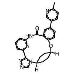 Cc1ccc(-c2ccc3c(c2)C(=O)Nc2cccc(n2)-c2nncn2[C@H]2CC[C@H](CC2)O3)cn1